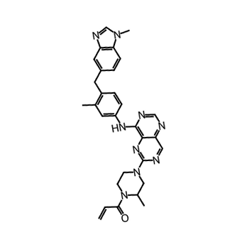 C=CC(=O)N1CCN(c2ncc3ncnc(Nc4ccc(Cc5ccc6c(c5)ncn6C)c(C)c4)c3n2)CC1C